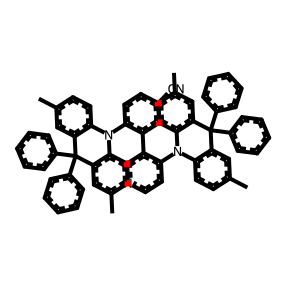 Cc1ccc2c(c1)C(c1ccccc1)(c1ccccc1)c1cc(C)ccc1N2c1ccncc1-c1cc(C#N)ccc1N1c2ccc(C)cc2C(c2ccccc2)(c2ccccc2)c2cc(C)ccc21